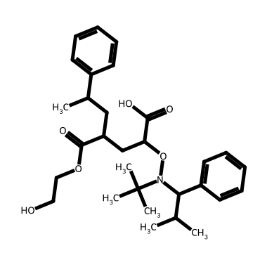 CC(CC(CC(ON(C(c1ccccc1)C(C)C)C(C)(C)C)C(=O)O)C(=O)OCCO)c1ccccc1